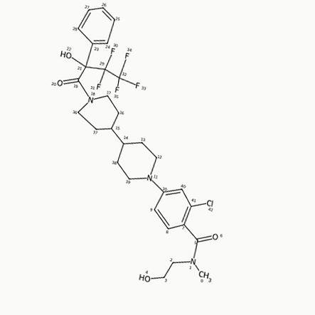 CN(CCO)C(=O)c1ccc(N2CCC(C3CCN(C(=O)C(O)(c4ccccc4)C(F)(F)C(F)(F)F)CC3)CC2)cc1Cl